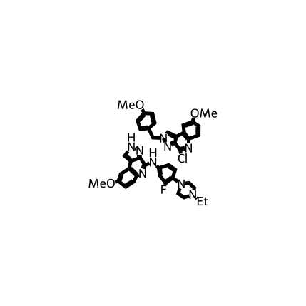 CCN1CCN(c2ccc(Nc3nc4ccc(OC)cc4c4c[nH]nc34)cc2F)CC1.COc1ccc(Cn2cc3c(n2)c(Cl)nc2ccc(OC)cc23)cc1